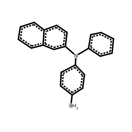 Bc1ccc(N(c2ccccc2)c2ccc3ccccc3c2)cc1